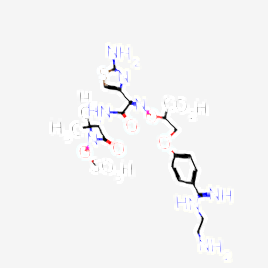 CC1(C)[C@H](NC(=O)/C(=N\OC(COc2ccc(C(=N)NCCN)cc2)C(=O)O)c2csc(N)n2)C(=O)N1OS(=O)(=O)O